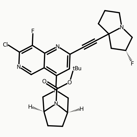 CC(C)(C)OC(=O)N1[C@@H]2CC[C@H]1CN(c1cc(C#CC34CCCN3C[C@H](F)C4)nc3c(F)c(Cl)ncc13)C2